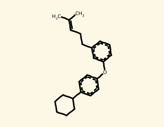 CC(C)=CCCc1cccc(Oc2c[c]c(C3CCCCC3)cc2)c1